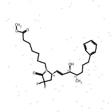 COC(=O)CCCCCCN1C(=O)C(F)(F)C[C@@H]1C=C[C@@H](O)[C@@H](C)CCCc1ccccc1